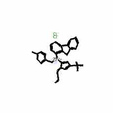 CCCC1C=C(C(C)(C)C)C=[C]1/[Zr+2](=[CH]/c1ccc(C)cc1)[c]1cccc2c1Cc1ccccc1-2.[Cl-].[Cl-]